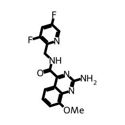 COc1cccc2c(C(=O)NCc3ncc(F)cc3F)nc(N)nc12